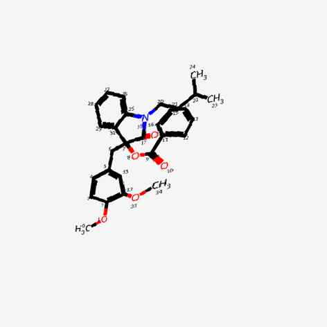 COc1ccc(CC2(OC(=O)c3ccccc3)C(=O)N(CCC(C)C)c3ccccc32)cc1OC